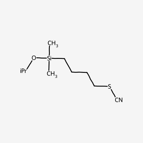 CC(C)O[Si](C)(C)CCCCSC#N